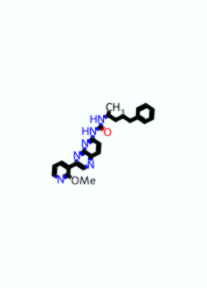 COc1ncccc1-c1cnc2ccc(NC(=O)NC(C)CCCc3ccccc3)nc2n1